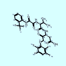 CC(C)[C@H](NC(=O)C(=O)Nc1ccccc1C(F)(F)F)C(=O)N[C@@H](CC(=O)O)C(=O)COc1c(F)c(F)cc(F)c1F